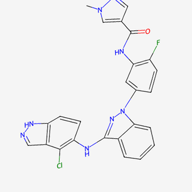 Cn1cc(C(=O)Nc2cc(-n3nc(Nc4ccc5[nH]ncc5c4Cl)c4ccccc43)ccc2F)cn1